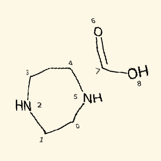 C1CNCCN1.O=CO